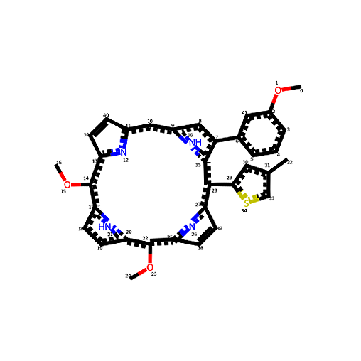 COc1cccc(-c2cc3cc4nc(c(OC)c5ccc([nH]5)c(OC)c5nc(c(-c6cc(C)cs6)c2[nH]3)C=C5)C=C4)c1